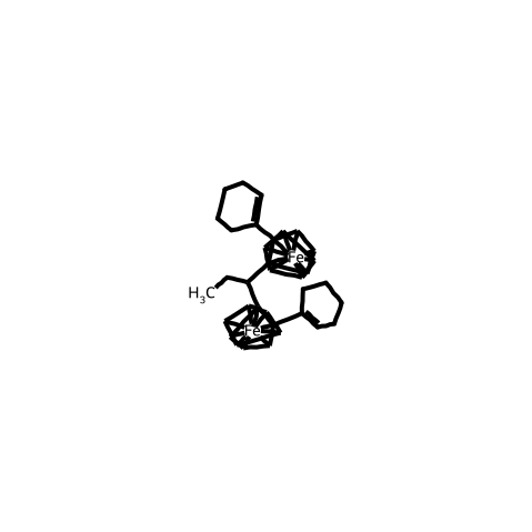 CCC([C]12[CH]3[CH]4[CH]5[C]1(C1=CCCCC1)[Fe]45321678[CH]2[CH]1[CH]6[CH]7[CH]28)[C]12[CH]3[CH]4[CH]5[C]1(C1=CCCCC1)[Fe]45321678[CH]2[CH]1[CH]6[CH]7[CH]28